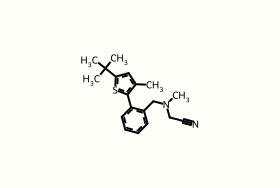 Cc1cc(C(C)(C)C)sc1-c1ccccc1CN(C)CC#N